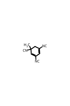 [C-]#[N+]C1=CC(C)([N+]#[C-])CC([N+]#[C-])=C1